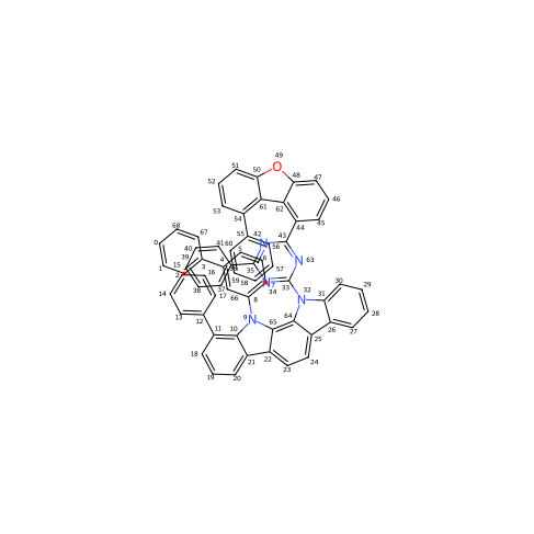 c1ccc(-c2cccc(-n3c4c(-c5ccccc5)cccc4c4ccc5c6ccccc6n(-c6nc(-c7ccccc7)nc(-c7cccc8oc9cccc(-c%10ccccc%10)c9c78)n6)c5c43)c2)cc1